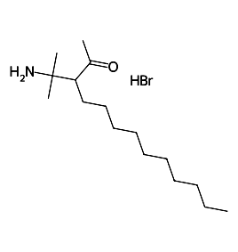 Br.CCCCCCCCCCC(C(C)=O)C(C)(C)N